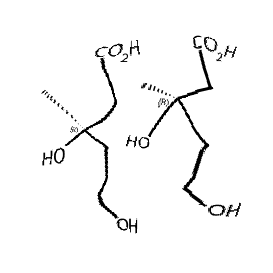 C[C@@](O)(CCO)CC(=O)O.C[C@@](O)(CCO)CC(=O)O